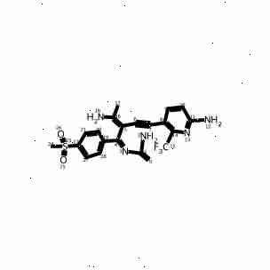 C=C(N)/N=C(\C(C#Cc1ccc(N)nc1C(F)(F)F)=C(\C)N)c1ccc(S(C)(=O)=O)cc1